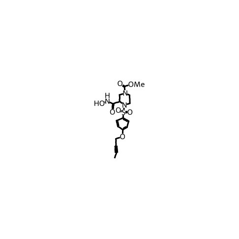 CC#CCOc1ccc(S(=O)(=O)N2CCN(C(=O)OC)CC2C(=O)NO)cc1